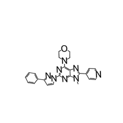 Cn1c(-c2ccncc2)nc2c(N3CCOCC3)nc(-n3ccc(-c4ccccc4)n3)nc21